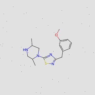 COc1cccc(Cc2nsc(N3CC(C)NCC3C)n2)c1